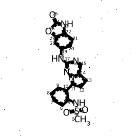 CS(=O)(=O)Nc1ccccc1-c1ccc2cnc(Nc3ccc4[nH]c(=O)oc4c3)nn12